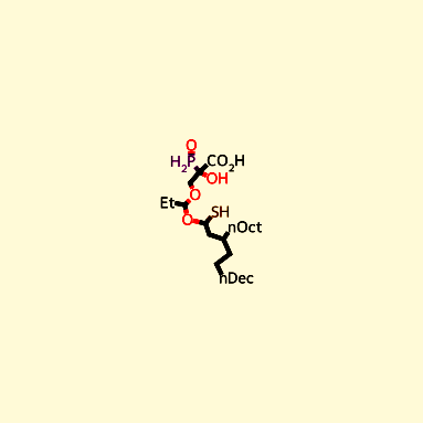 CCCCCCCCCCCCC(CCCCCCCC)CC(S)OC(CC)OCC(O)([PH2]=O)C(=O)O